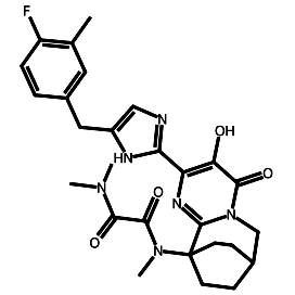 Cc1cc(Cc2cnc(-c3nc4n(c(=O)c3O)CC3CCC4(N(C)C(=O)C(=O)N(C)C)CC3)[nH]2)ccc1F